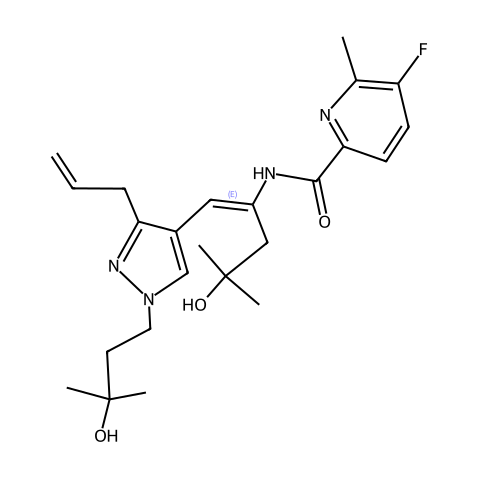 C=CCc1nn(CCC(C)(C)O)cc1/C=C(\CC(C)(C)O)NC(=O)c1ccc(F)c(C)n1